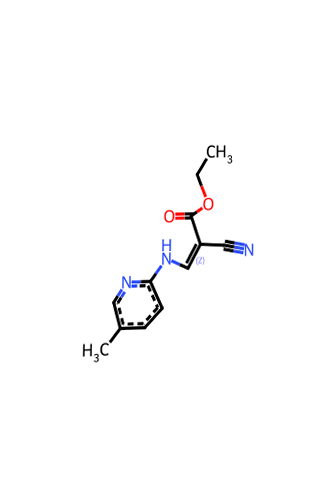 CCOC(=O)/C(C#N)=C\Nc1ccc(C)cn1